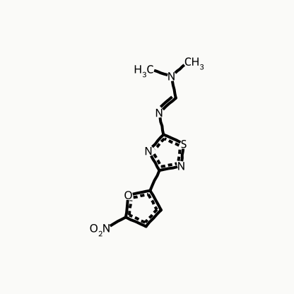 CN(C)C=Nc1nc(-c2ccc([N+](=O)[O-])o2)ns1